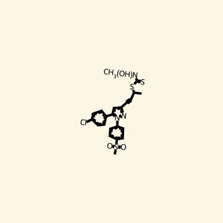 CC(C#Cc1cc(-c2ccc(Cl)cc2)n(-c2ccc(S(C)(=O)=O)cc2)n1)SC(=S)N(C)O